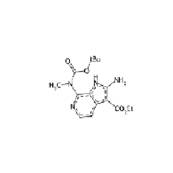 CCOC(=O)c1c(N)[nH]c2c(N(C)C(=O)OC(C)(C)C)nccc12